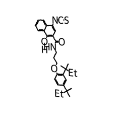 CCC(C)(C)c1ccc(OCCCNC(=O)c2cc(N=C=S)c3ccccc3c2O)c(C(C)(C)CC)c1